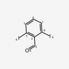 O=[C]c1c(I)cccc1I